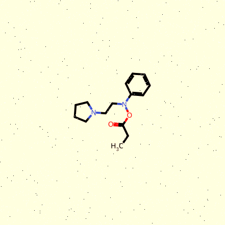 CCC(=O)ON(CCN1CCCC1)c1ccccc1